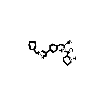 N#C[C@H](Cc1ccc(-c2cnn(Cc3ccccc3)c2)cc1)NC(=O)C1CCCCN1